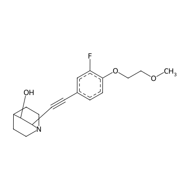 COCCOc1ccc(C#CC2C(O)C3CCN2CC3)cc1F